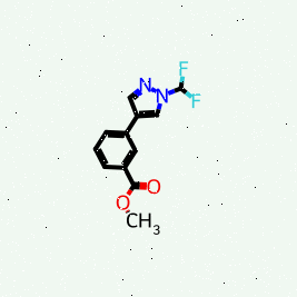 COC(=O)c1cccc(-c2cnn(C(F)F)c2)c1